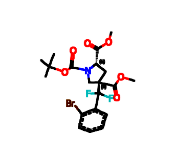 COC(=O)[C@@H]1C[C@@](C(=O)OC)(C(F)(F)c2ccccc2Br)CN1C(=O)OC(C)(C)C